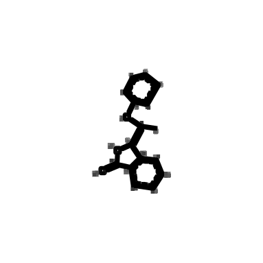 C/C(Oc1ccccc1)=C1/OC(=O)c2ccccc21